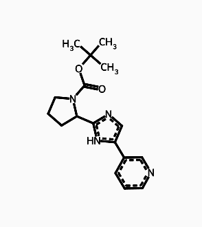 CC(C)(C)OC(=O)N1CCCC1c1ncc(-c2cccnc2)[nH]1